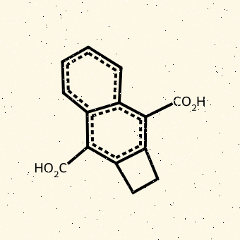 O=C(O)c1c2c(c(C(=O)O)c3ccccc13)CC2